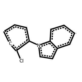 Clc1ccccc1-n1ccc2c[c]ccc21